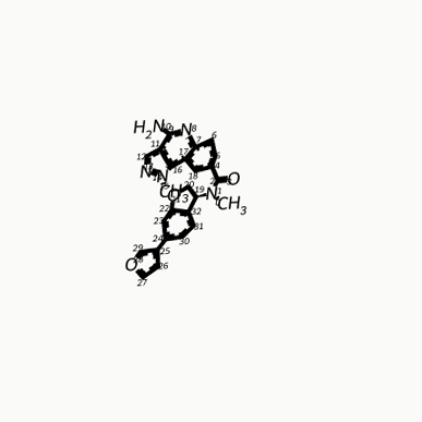 CN(C(=O)c1ccc2nc(N)c3cnn(C)c3c2c1)[C@@H]1COc2cc(-c3ccoc3)ccc21